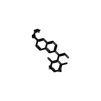 C/C=C(/c1ccc2cc(OCCC)ccc2c1)c1c(C)ncnc1C